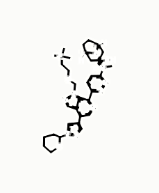 CN(c1ccc(-c2ncc(-c3cnn(C4CCCCO4)c3)c3cnn(COCC[Si](C)(C)C)c23)nn1)C1C[C@H]2CC[C@@H](C1)N2C(=O)O